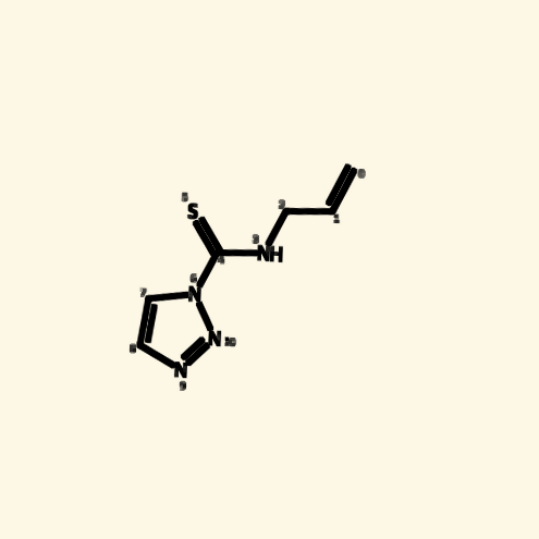 C=CCNC(=S)n1ccnn1